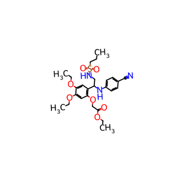 CCCS(=O)(=O)NCC(Nc1ccc(C#N)cc1)c1cc(OCC)c(OCC)cc1OCC(=O)OCC